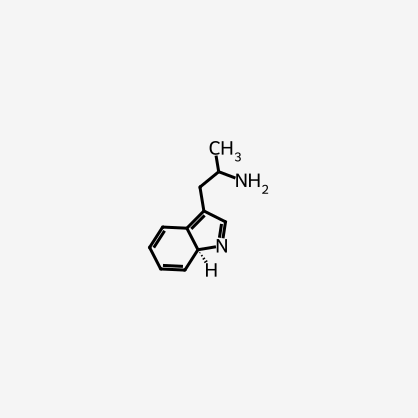 CC(N)CC1=C2C=CC=C[C@@H]2N=C1